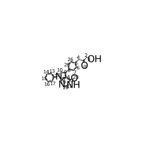 O=C(CO)Cc1ccc(-c2cn(-c3ccccc3)c3nc[nH]c(=O)c23)cc1